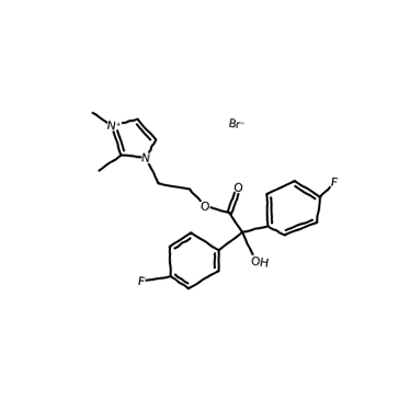 Cc1n(CCOC(=O)C(O)(c2ccc(F)cc2)c2ccc(F)cc2)cc[n+]1C.[Br-]